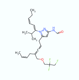 C/C=C\CC(=C=CCc1cc(NC=O)nn1/C(=C/C=C\CC)C(C)C)COCC(F)(F)CF